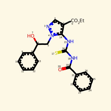 CCOC(=O)c1cnn(CC(O)c2ccccc2)c1NC(=S)NC(=O)c1ccccc1